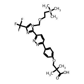 CC(C)(COc1ccc(-c2ccc(-c3nc(C(F)(F)F)cn3COCCS(C)(C)C)nn2)cc1)C(=O)O